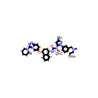 COCCN(C)Cc1cccc(-n2nc(C(C)(C)C)cc2N(OC=O)C(=O)N[C@H]2CC[C@@H](Oc3ccc4nnc(N5CCCC[C@@H]5C)n4c3)c3ccccc32)c1